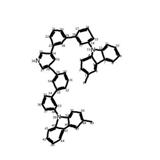 Cc1ccc2c(c1)c1ccccc1n2-c1cccc(-c2cccc(-c3cncc(-c4cccc(-c5cccc(-n6c7ccccc7c7cc(C)ccc76)c5)c4)c3)c2)c1